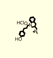 CN(C)CC1Cc2ccccc2N(C(=O)CCc2ccc(O)cc2)C1.Cl